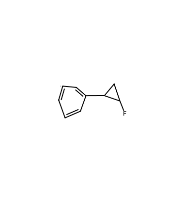 FC1CC1c1c[c]ccc1